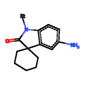 CCN1C(=O)C2(CCCCC2)c2cc(N)ccc21